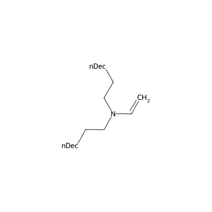 C=CN(CCCCCCCCCCCC)CCCCCCCCCCCC